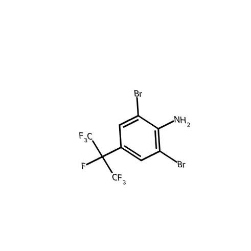 Nc1c(Br)cc(C(F)(C(F)(F)F)C(F)(F)F)cc1Br